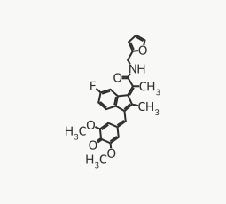 COC1=CC(=CC2=C(C)C(=C(C)C(=O)NCc3ccco3)c3cc(F)ccc32)C=C(OC)C1=O